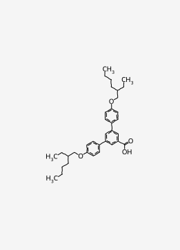 CCCCC(CC)COc1ccc(-c2cc(C(=O)O)cc(-c3ccc(OCC(CC)CCCC)cc3)c2)cc1